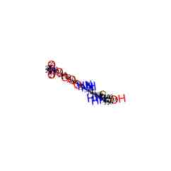 N=N/C(=C\NCCOCCOCCOCCOCCN1C(=O)C=CC1=O)CCCCNC(=S)Nc1ccc(O)cc1